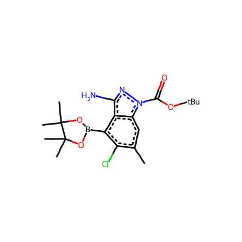 Cc1cc2c(c(N)nn2C(=O)OC(C)(C)C)c(B2OC(C)(C)C(C)(C)O2)c1Cl